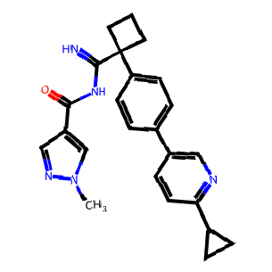 Cn1cc(C(=O)NC(=N)C2(c3ccc(-c4ccc(C5CC5)nc4)cc3)CCC2)cn1